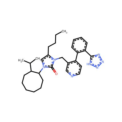 CCCCc1cn(C2CCCCCCC2C(C)C)c(=O)n1Cc1cnccc1-c1ccccc1-c1nnn[nH]1